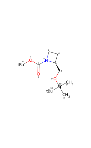 CC(C)(C)OC(=O)N1CC[C@H]1CO[Si](C)(C)C(C)(C)C